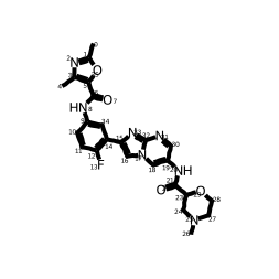 Cc1nc(C)c(C(=O)Nc2ccc(F)c(-c3cn4cc(NC(=O)C5CN(C)CCO5)cnc4n3)c2)o1